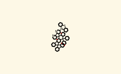 c1ccc(C2(c3ccccc3)c3ccccc3C3(c4cc5c(cc42)C2(c4ccccc4-c4ccccc42)c2ccccc2-5)c2cccnc2-c2ncc(N4c5ccccc5Sc5ccccc54)cc23)cc1